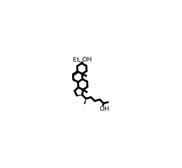 CC[C@]1(O)CCC2(C)C(=CCC3C2CCC2(C)C3CC[C@@H]2[C@H](C)CCCC(C)O)C1